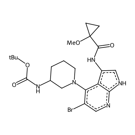 COC1(C(=O)Nc2c[nH]c3ncc(Br)c(N4CCCC(NC(=O)OC(C)(C)C)C4)c23)CC1